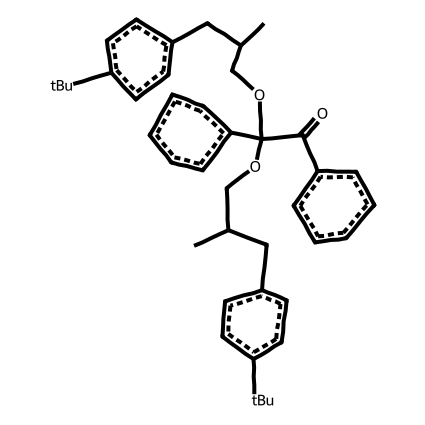 CC(COC(OCC(C)Cc1ccc(C(C)(C)C)cc1)(C(=O)c1ccccc1)c1ccccc1)Cc1ccc(C(C)(C)C)cc1